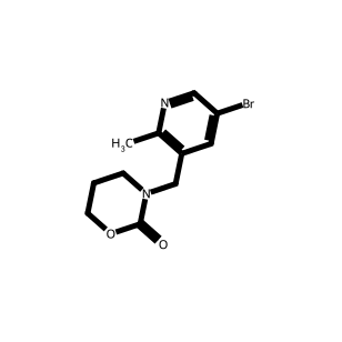 Cc1ncc(Br)cc1CN1CCCOC1=O